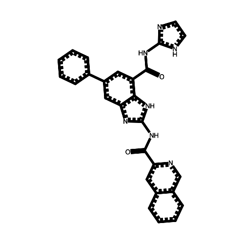 O=C(Nc1nc2cc(-c3ccccc3)cc(C(=O)Nc3ncc[nH]3)c2[nH]1)c1cc2ccccc2cn1